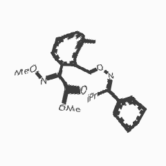 CO/N=C(/C(=O)OC)c1cccc(C)c1CO/N=C(/c1ccccc1)C(C)C